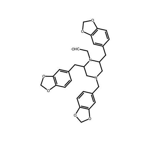 O=[C]CN1C(Cc2ccc3c(c2)OCO3)CN(Cc2ccc3c(c2)OCO3)CC1Cc1ccc2c(c1)OCO2